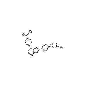 CC(C)N1CC[C@H](c2ccc(-c3cc4c(N5CCN(C(=O)C6CC6)CC5)ccnn4c3)nc2)C1